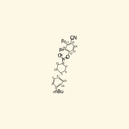 CCCCc1ccc([C@H]2CC[C@H](C(=O)Oc3ccc(C#N)c(F)c3F)CC2)cc1